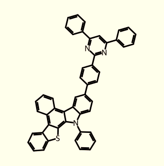 c1ccc(-c2cc(-c3ccccc3)nc(-c3ccc(-c4ccc5c(c4)c4c6ccccc6c6c7ccccc7sc6c4n5-c4ccccc4)cc3)n2)cc1